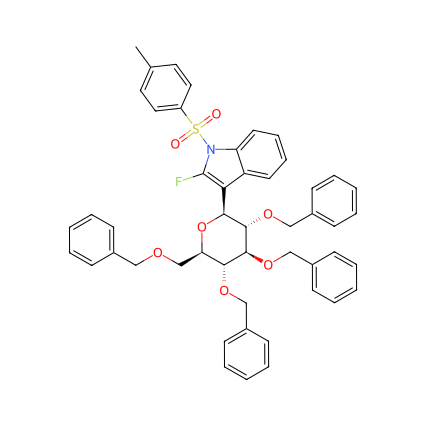 Cc1ccc(S(=O)(=O)n2c(F)c([C@@H]3O[C@H](COCc4ccccc4)[C@@H](OCc4ccccc4)[C@H](OCc4ccccc4)[C@H]3OCc3ccccc3)c3ccccc32)cc1